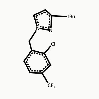 CC(C)(C)c1ccn(Cc2ccc(C(F)(F)F)cc2Cl)n1